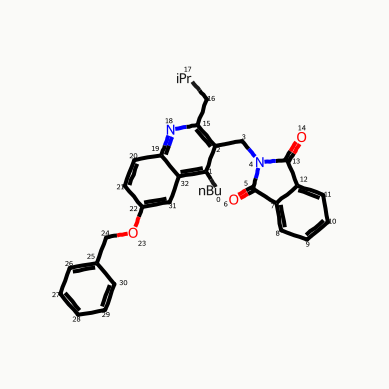 CCCCc1c(CN2C(=O)c3ccccc3C2=O)c(CC(C)C)nc2ccc(OCc3ccccc3)cc12